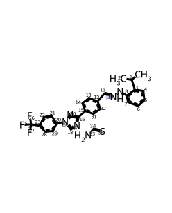 CC(C)c1ccccc1N/N=C/c1ccc(-c2ncn(-c3ccc(C(F)(F)F)cc3)n2)cc1.NC=S